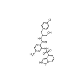 Cc1ccc(C(=O)NC(CO)Cc2ccc(Cl)cc2)c(NS(=O)(=O)C2=CC=CN3SNC=C23)c1